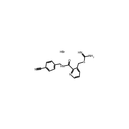 Br.N#Cc1ccc(CNC(=O)c2ncccc2CSC(=N)N)cc1